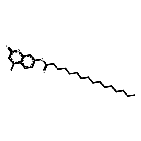 CCCCCCCCCCCCCCCC(=O)Oc1ccc2c(C)cc(=O)oc2c1